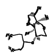 CCC(CC)O[C@H]1CO[C@H]2[C@@H]1OC[C@H]2O